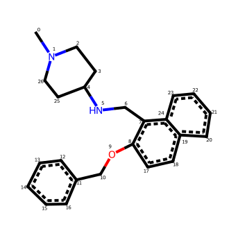 CN1CCC(NCc2c(OCc3ccccc3)ccc3ccccc23)CC1